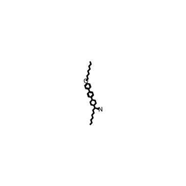 CCCCCCCCOc1ccc(-c2ccc(C3CCC(C(C#N)CCCCCCC)CC3)cc2)cc1